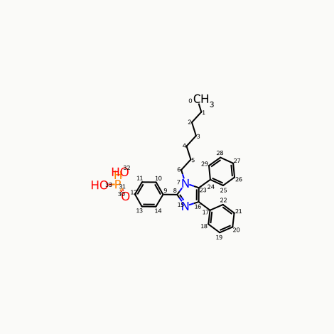 CCCCCCCn1c(-c2ccccc2)nc(-c2ccccc2)c1-c1ccccc1.O=[PH](O)O